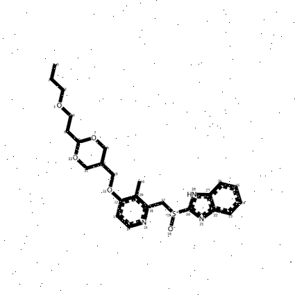 CCCOCCC1OCC(COc2ccnc(C[S+]([O-])c3nc4ccccc4[nH]3)c2C)CO1